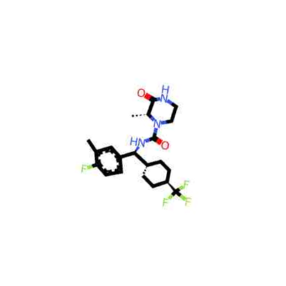 Cc1cc([C@@H](NC(=O)N2CCNC(=O)[C@H]2C)[C@H]2CC[C@H](C(F)(F)F)CC2)ccc1F